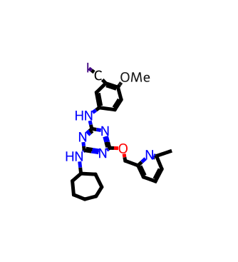 COc1ccc(Nc2nc(NC3CCCCCC3)nc(OCc3cccc(C)n3)n2)cc1CI